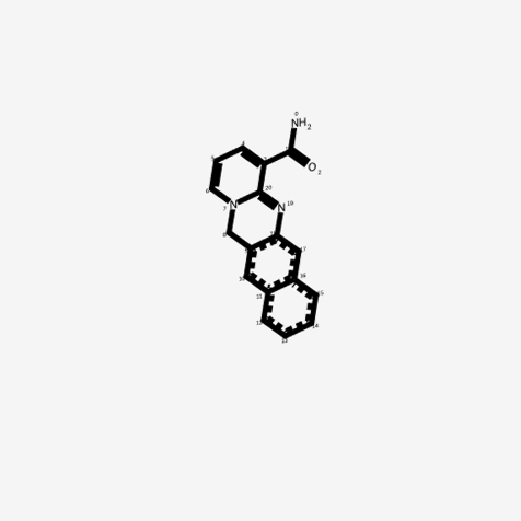 NC(=O)C1=CC=CN2Cc3cc4ccccc4cc3N=C12